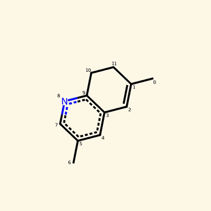 CC1=Cc2cc(C)cnc2CC1